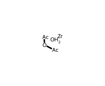 CC(=O)OC(C)=O.O.[Zr]